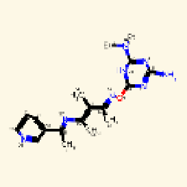 CCN(CC)C1=NC(N)=NC(O/N=C(C)/C(C)=C(C)/N=C(\C)c2cccnc2)N1